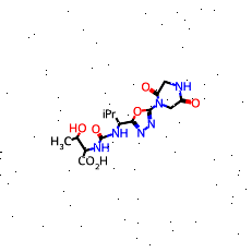 CC(C)C(NC(=O)NC(C(=O)O)C(C)O)c1nnc(N2CC(=O)NCC2=O)o1